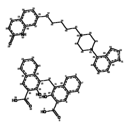 O=C(O)c1cc2ccccc2c(Cc2c(O)c(C(=O)O)cc3ccccc23)c1O.O=c1ccc2ccc(OCCCCN3CCN(c4cccc5sccc45)CC3)cc2[nH]1